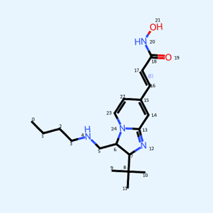 CCCCNCC1C(C(C)(C)C)N=C2C=C(/C=C/C(=O)NO)C=CN21